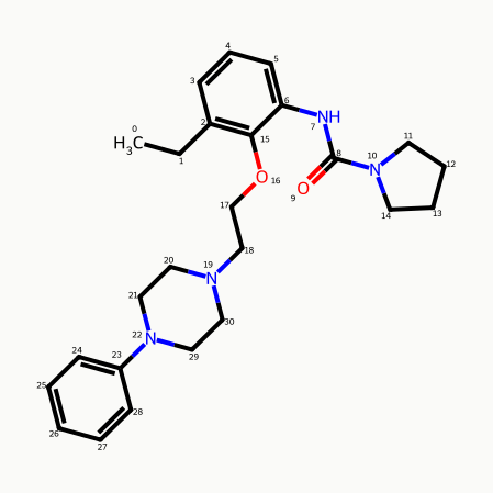 CCc1cccc(NC(=O)N2CCCC2)c1OCCN1CCN(c2ccccc2)CC1